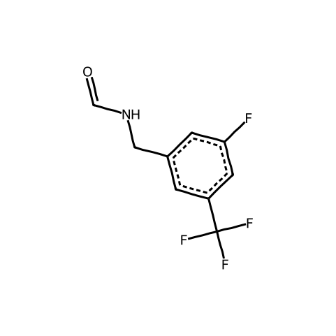 O=CNCc1cc(F)cc(C(F)(F)F)c1